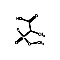 COP(=O)(F)C(C)C(=O)O